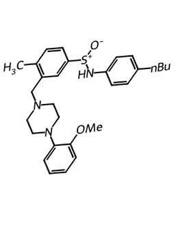 CCCCc1ccc(N[S+]([O-])c2ccc(C)c(CN3CCN(c4ccccc4OC)CC3)c2)cc1